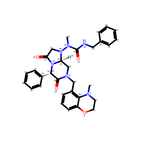 CN1CCOc2cccc(CN3C[C@H]4N(C(=O)CN4N(C)C(=O)NCc4ccccc4)[C@@H](c4ccccc4)C3=O)c21